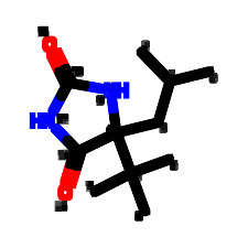 CC(C)CC1(C(C)(C)C)NC(=O)NC1=O